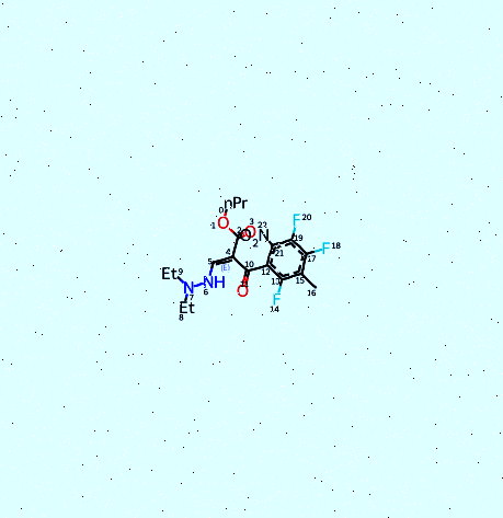 CCCOC(=O)/C(=C/NN(CC)CC)C(=O)c1c(F)c(C)c(F)c(F)c1[N+](=O)[O-]